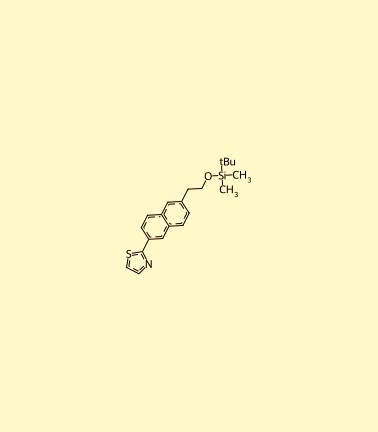 CC(C)(C)[Si](C)(C)OCCc1ccc2cc(-c3nccs3)ccc2c1